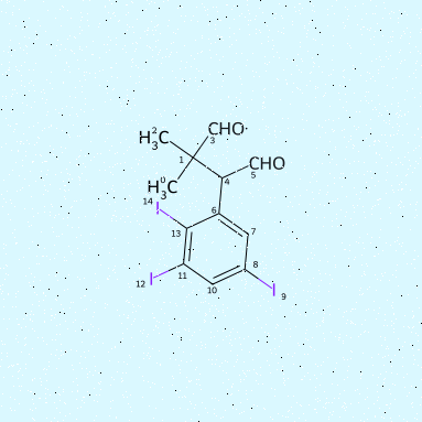 CC(C)([C]=O)C(C=O)c1cc(I)cc(I)c1I